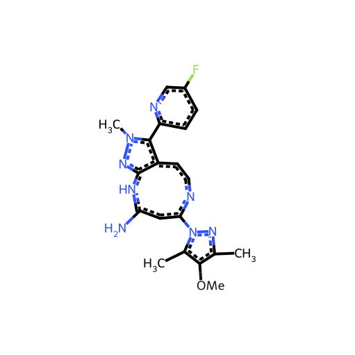 COc1c(C)nn(-c2cc(N)[nH]c3nn(C)c(-c4ccc(F)cn4)c3ccn2)c1C